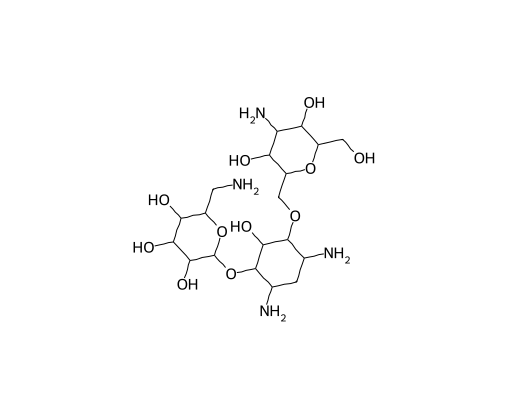 NCC1OC(OC2C(N)CC(N)C(OCC3OC(CO)C(O)C(N)C3O)C2O)C(O)C(O)C1O